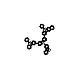 c1ccc(-n2c3ccccc3c3cc(-c4ccc5c(c4)c4cc(-c6ccc7c(c6)c6cc8ccccc8cc6n7-c6ccccc6)ccc4n5-c4ccc5oc6ccccc6c5c4)ccc32)cc1